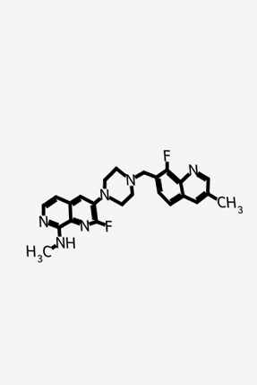 CNc1nccc2cc(N3CCN(Cc4ccc5cc(C)cnc5c4F)CC3)c(F)nc12